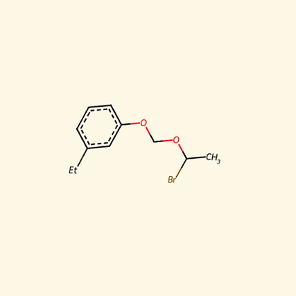 CCc1cccc(OCOC(C)Br)c1